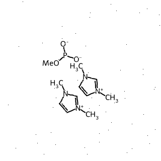 COP([O-])[O-].Cn1cc[n+](C)c1.Cn1cc[n+](C)c1